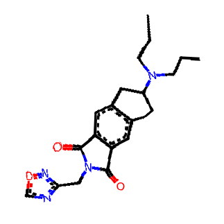 CCCN(CCC)C1Cc2cc3c(cc2C1)C(=O)N(Cc1ncon1)C3=O